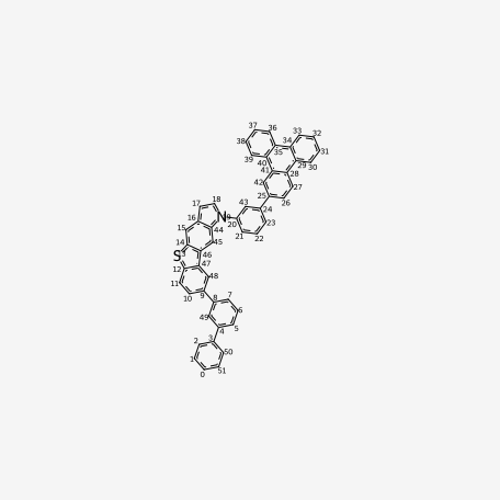 c1ccc(-c2cccc(-c3ccc4sc5cc6ccn(-c7cccc(-c8ccc9c%10ccccc%10c%10ccccc%10c9c8)c7)c6cc5c4c3)c2)cc1